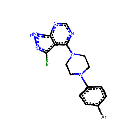 CC(=O)c1ccc(N2CCN(c3ncnc4[nH]nc(Br)c34)CC2)cc1